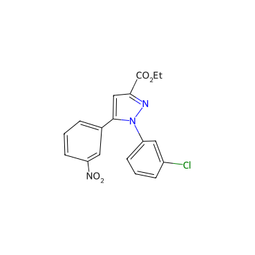 CCOC(=O)c1cc(-c2cccc([N+](=O)[O-])c2)n(-c2cccc(Cl)c2)n1